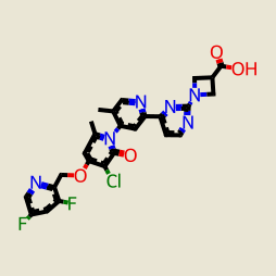 Cc1cnc(-c2ccnc(N3CC(C(=O)O)C3)n2)cc1-n1c(C)cc(OCc2ncc(F)cc2F)c(Cl)c1=O